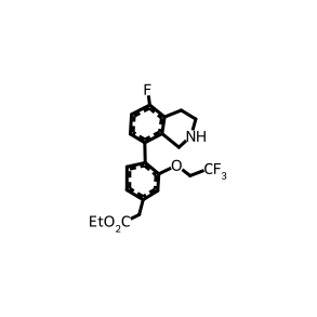 CCOC(=O)Cc1ccc(-c2ccc(F)c3c2CNCC3)c(OCC(F)(F)F)c1